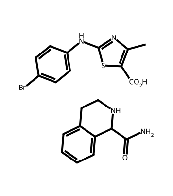 Cc1nc(Nc2ccc(Br)cc2)sc1C(=O)O.NC(=O)C1NCCc2ccccc21